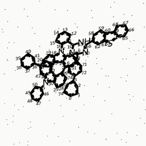 c1ccc(-c2ccc(C3=NC(c4ccccc4-n4c5ccccc5c5c(-c6cccc7c6c6ccc(-c8ccccc8)cc6n7-c6ccccc6)cccc54)NC(c4ccc5c(c4)sc4ccccc45)=N3)cc2)cc1